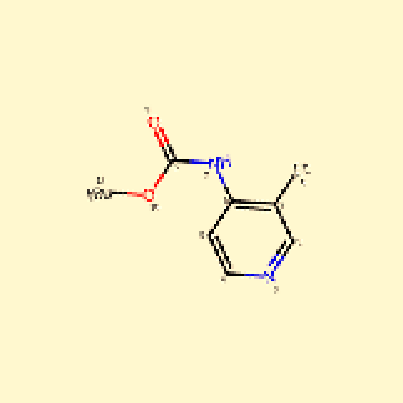 CCc1cnccc1NC(=O)OC(C)(C)C